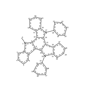 Cn1c2ccccc2c2c1c1c3ccccc3n(-c3ccccc3)c1c1c3ccccc3n(-c3ccccc3)c21